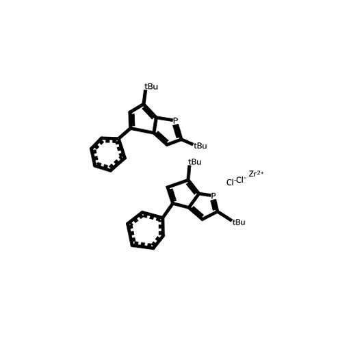 CC(C)(C)C1=PC2=C(C(C)(C)C)C=C(c3ccccc3)C2=C1.CC(C)(C)C1=PC2=C(C(C)(C)C)C=C(c3ccccc3)C2=C1.[Cl-].[Cl-].[Zr+2]